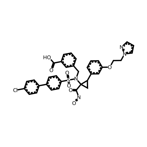 O=NC(=O)C1(N(Cc2cccc(C(=O)O)c2)S(=O)(=O)c2ccc(-c3ccc(Cl)cc3)cc2)CC1c1cccc(OCCn2cccn2)c1